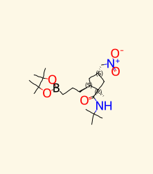 CC(C)(C)NC(=O)[C@]1(C)C[C@@H](C[N+](=O)[O-])C[C@@H]1CCCB1OC(C)(C)C(C)(C)O1